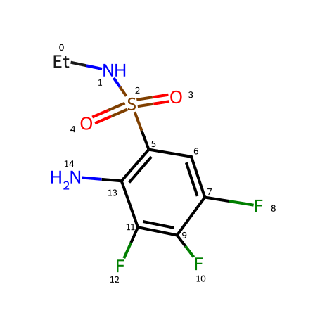 CCNS(=O)(=O)c1cc(F)c(F)c(F)c1N